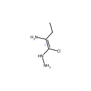 CC/C(N)=C(\Cl)NN